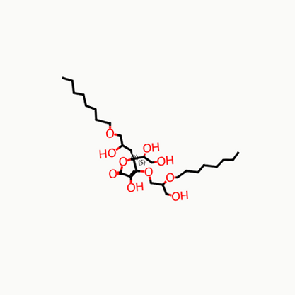 CCCCCCCCOCC(O)C[C@]1([C@@H](O)CO)OC(=O)C(O)=C1OCC(CO)OCCCCCCCC